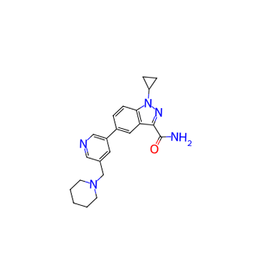 NC(=O)c1nn(C2CC2)c2ccc(-c3cncc(CN4CCCCC4)c3)cc12